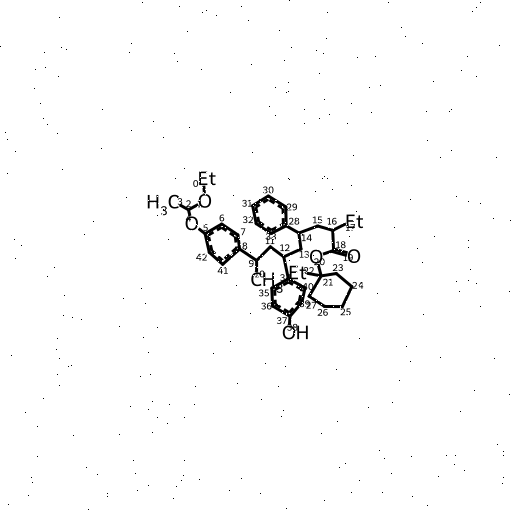 CCOC(C)Oc1ccc(C(C)CC(CC(CC(CC)C(=O)OC2(CC)CCCCC2)c2ccccc2)c2ccc(O)cc2)cc1